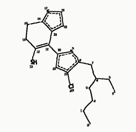 CCCCC(CC)Cc1sc(C2=C(S)CCc3sccc32)cc1Cl